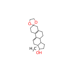 C[C@]12CC=C3C4=C(CCC3C1CCC2O)CC1(CC4)OCCO1